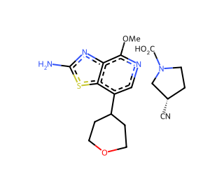 COc1ncc(C2CCOCC2)c2sc(N)nc12.N#C[C@H]1CCN(C(=O)O)C1